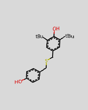 CC(C)(C)c1cc(CSCc2ccc(O)cc2)cc(C(C)(C)C)c1O